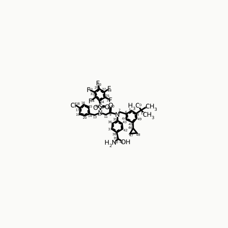 CC(C)(C)c1cc(CN(C(=O)CN(Cc2ccc(Cl)cc2)S(=O)(=O)c2c(F)c(F)c(F)c(F)c2F)c2ccc(C(N)O)cc2)cc(C2CC2)c1